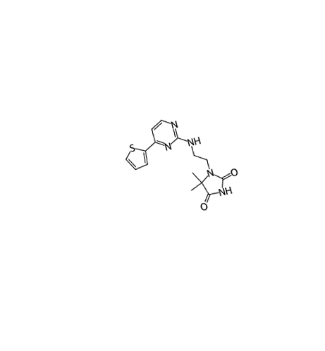 CC1(C)C(=O)NC(=O)N1CCNc1nccc(-c2cccs2)n1